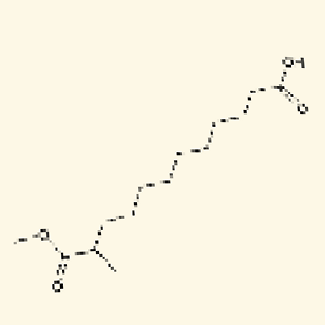 COC(=O)C(C)CCCCCCCCCC(=O)O